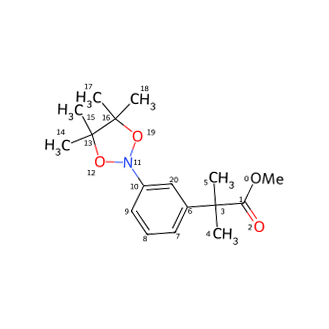 COC(=O)C(C)(C)c1cccc(N2OC(C)(C)C(C)(C)O2)c1